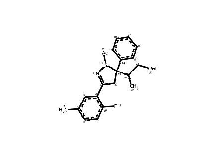 CC(=O)N1N=C(c2cc(C)ccc2F)C[C@]1(c1ccccc1)C(C)CO